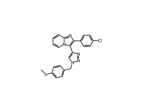 CSc1ccc(Cn2cc(-c3c(-c4ccc(Cl)cc4)nc4ccccn34)nn2)cc1